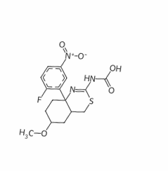 COC1CCC2(c3cc([N+](=O)[O-])ccc3F)N=C(NC(=O)O)SCC2C1